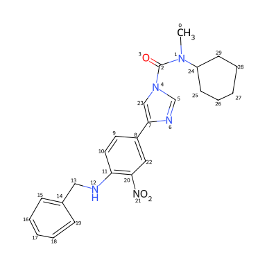 CN(C(=O)n1cnc(-c2ccc(NCc3ccccc3)c([N+](=O)[O-])c2)c1)C1CCCCC1